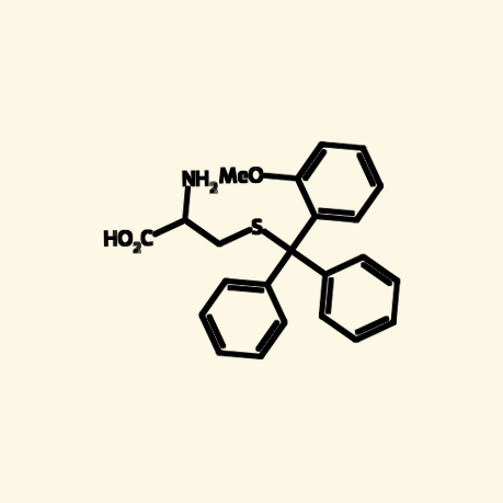 COc1ccccc1C(SCC(N)C(=O)O)(c1ccccc1)c1ccccc1